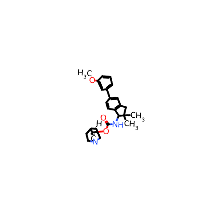 COc1cccc(-c2ccc3c(c2)CC(C)(C)C3NC(=O)O[C@H]2CN3CCC2CC3)c1